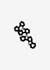 c1ccc(-c2ccccc2-n2c3ccccc3c3c(-n4c5ccccc5c5c6sc7ccccc7c6ccc54)cccc32)cc1